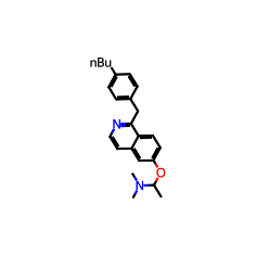 CCCCc1ccc(Cc2nccc3cc(OC(C)N(C)C)ccc23)cc1